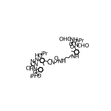 CCCC(C(=O)NC=O)N(C=O)C(=O)c1cccc(NCCCCCNC(=O)CN2CCC(c3cc(OC(C)C)c(Nc4ncc(Cl)c(Nc5ccccc5S(=O)(=O)C(C)C)n4)cc3C)CC2)c1C